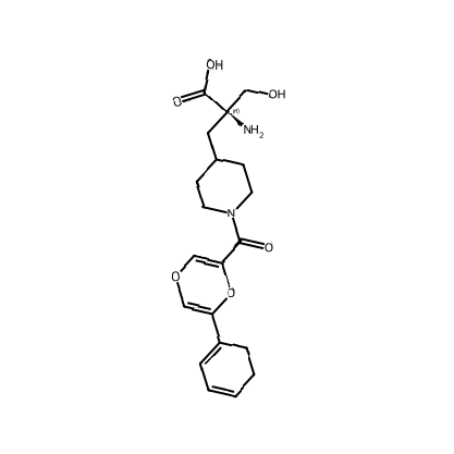 N[C@@](CO)(CC1CCN(C(=O)C2=COC=C(C3=CC=CCC3)O2)CC1)C(=O)O